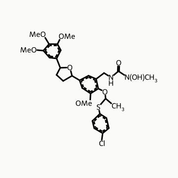 COc1cc(C2CCC(c3cc(OC)c(OC)c(OC)c3)O2)cc(CNC(=O)N(C)O)c1OC(C)Sc1ccc(Cl)cc1